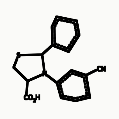 N#Cc1cccc(N2C(C(=O)O)CSC2c2ccccc2)c1